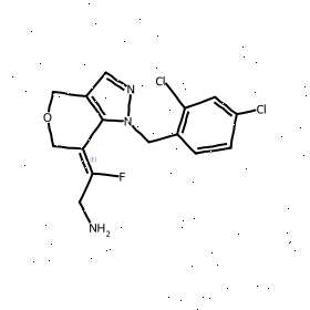 NC/C(F)=C1\COCc2cnn(Cc3ccc(Cl)cc3Cl)c21